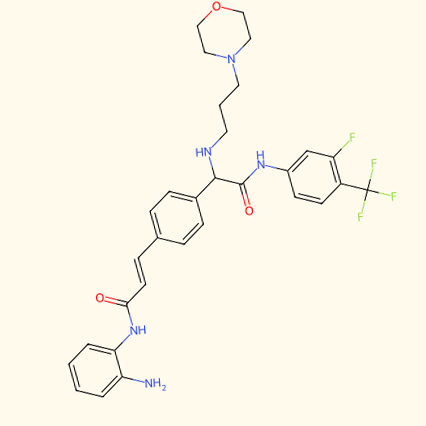 Nc1ccccc1NC(=O)/C=C/c1ccc(C(NCCCN2CCOCC2)C(=O)Nc2ccc(C(F)(F)F)c(F)c2)cc1